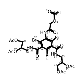 CCC(=O)OCC(=O)Nc1c(Br)c(C(=O)NCC(COC(C)=O)OC(C)=O)c(Br)c(C(=O)NCC(COC(C)=O)OC(C)=O)c1Br